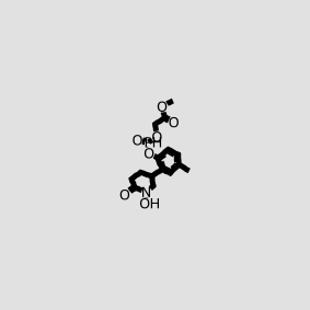 COC(=O)CO[PH](=O)Oc1ccc(C)cc1C1CCC(=O)N(O)C1